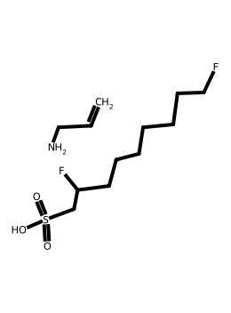 C=CCN.O=S(=O)(O)CC(F)CCCCCCCF